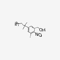 Cc1cc(C(C)(C)CC(C)C)cc(CO)c1N=O